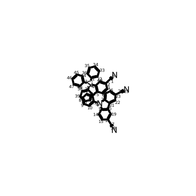 N#Cc1ccc(-c2ccccc2-n2c3ccc(C#N)cc3c3cc(C#N)ccc32)c([Si](c2ccccc2)(c2ccccc2)c2ccccc2)c1